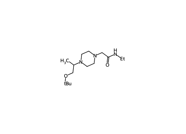 CCNC(=O)CN1CCN(C(C)COC(C)(C)C)CC1